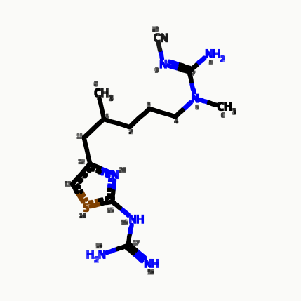 CC(CCCN(C)C(N)=NC#N)Cc1csc(NC(=N)N)n1